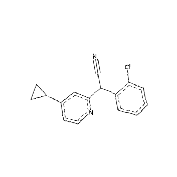 N#CC(c1cc(C2CC2)ccn1)c1ccccc1Cl